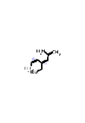 C=C(N)/C=C(\C=C/C)CC(C)(C)C